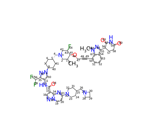 CC1CN(C[C@H]2CC[C@H](n3cc(NC(=O)c4cnn5ccc(N6CCC(CN7CCC7)CC6)nc45)c(C(F)F)n3)CC2)C[C@@H](F)[C@H]1OCC#Cc1cccc2c(C3CCC(=O)NC3=O)nn(C)c12